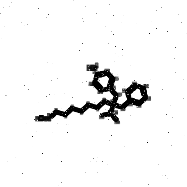 Br.CCCCCCCCCCCCCCCCCC(Cc1ccccc1)(Cc1ccccc1)N(C)C